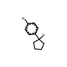 [2H]C1(c2ccc(Br)cc2)CCCC1